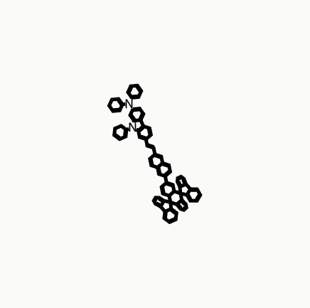 C1=CCCC(n2c3cc(/C=C/c4ccc5cc(C6=CC7C(C=C6)C6(c8ccccc8-c8ccccc86)c6ccccc6C76c7ccccc7-c7ccccc76)ccc5c4)ccc3c3ccc(N(C4=CCCC=C4)c4ccccc4)cc32)=C1